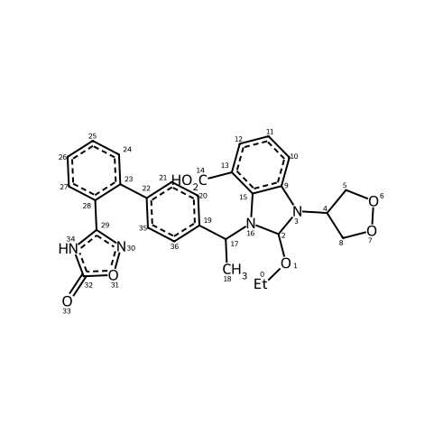 CCOC1N(C2COOC2)c2cccc(C(=O)O)c2N1C(C)c1ccc(-c2ccccc2-c2noc(=O)[nH]2)cc1